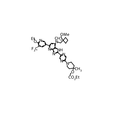 CCOC(=O)COC1(C)CCN(c2cnc(-c3nc4nc(-c5cnc(OCC)c(C(F)(F)F)c5)cc(N(C)CC5(COC)CCC5)c4[nH]3)cn2)CC1